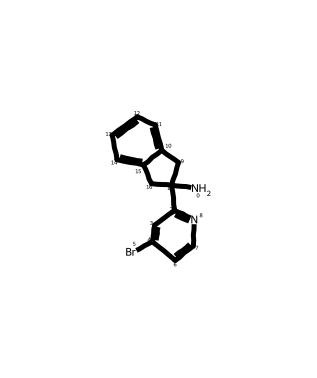 NC1(c2cc(Br)ccn2)Cc2ccccc2C1